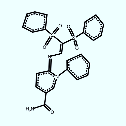 NC(=O)c1ccc(=NC=C(S(=O)(=O)c2ccccc2)S(=O)(=O)c2ccccc2)n(-c2ccccc2)c1